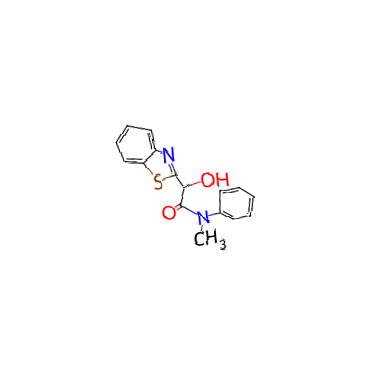 CN(C(=O)C(O)c1nc2ccccc2s1)c1ccccc1